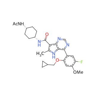 COc1cc(OCC2CC2)c(-c2ncnc3c(C(=O)N[C@H]4CC[C@@H](NC(C)=O)CC4)c(C)[nH]c23)cc1F